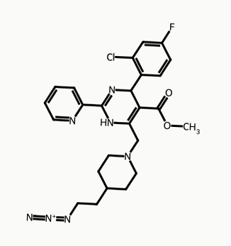 COC(=O)C1=C(CN2CCC(CCN=[N+]=[N-])CC2)NC(c2ccccn2)=NC1c1ccc(F)cc1Cl